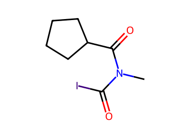 CN(C(=O)I)C(=O)C1CCCC1